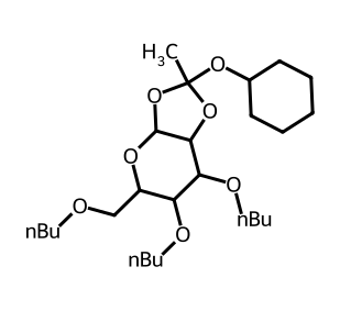 CCCCOCC1OC2OC(C)(OC3CCCCC3)OC2C(OCCCC)C1OCCCC